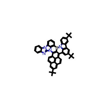 CC(C)(C)c1cc2ccc3c4c5c(c6ccc(c1)c2c36)-n1c2c(cccc2n2c3ccccc3nc12)B5n1c2ccc(C(C)(C)C)cc2c2cc(C(C)(C)C)cc-4c21